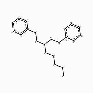 CCCCCC(CCc1ccccc1)CCc1ccccc1